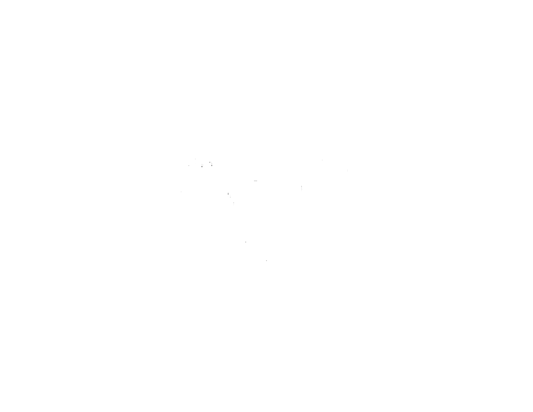 ClPC(c1ccccc1)(c1ccccc1)c1ccccc1-c1ccccc1